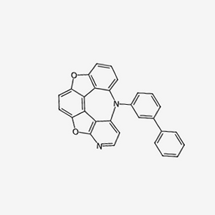 c1ccc(-c2cccc(-n3c4cccc5oc6ccc7oc8nccc3c8c7c6c54)c2)cc1